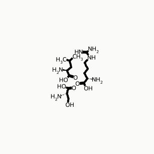 CC(C)C[C@H](N)C(=O)O.N=C(N)NCCC[C@H](N)C(=O)O.N[C@@H](CO)C(=O)O